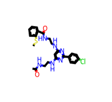 CSc1ccccc1C(=O)NCCNc1cc(NCCNC(C)=O)nc(-c2ccc(Cl)cc2)n1